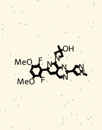 COc1cc(OC)c(F)c(-c2cc3cnc(-c4cnn(C)c4)nc3c(N3CC(C)(O)C3)n2)c1F